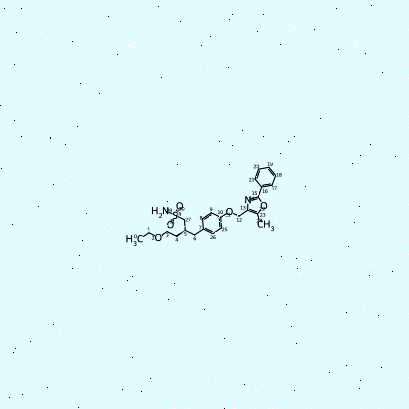 CCOCC[C@H](Cc1ccc(OCc2nc(-c3ccccc3)oc2C)cc1)CS(N)(=O)=O